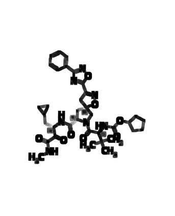 CNC(=O)C(=O)[C@H](CC1CC1)NC(=O)[C@@H]1C[C@@]2(CC(c3nc(-c4ccccc4)no3)=NO2)CN1C(=O)[C@@H](NC(=O)OC1CCCC1)C(C)(C)C